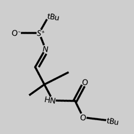 CC(C)(/C=N/[S+]([O-])C(C)(C)C)NC(=O)OC(C)(C)C